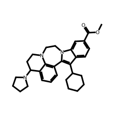 COC(=O)c1ccc2c(C3CCCCC3)c3n(c2c1)CCN1CCC(N2CCCC2)c2cccc-3c21